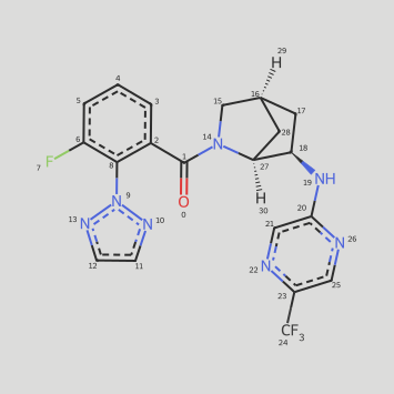 O=C(c1cccc(F)c1-n1nccn1)N1C[C@H]2C[C@@H](Nc3cnc(C(F)(F)F)cn3)[C@@H]1C2